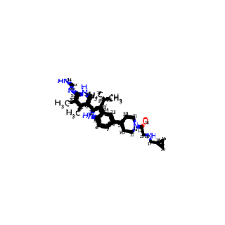 Cc1c(-c2[nH]c3ccc(C4CCN(C(=O)CNCC5CC5)CC4)cc3c2C(C)C)c[nH]/c(=N\C=N)c1C